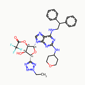 CCn1nnc([C@H]2O[C@@H](n3cnc4c(NCC(c5ccccc5)c5ccccc5)nc(NC5CCOCC5)nc43)[C@H](OC(=O)C(F)(F)F)[C@@H]2O)n1